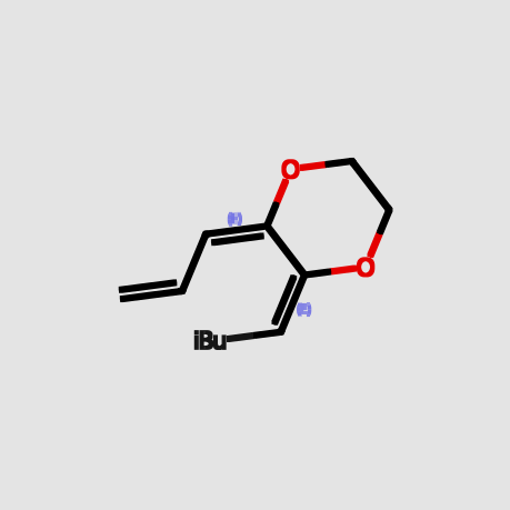 C=C/C=C1/OCCO/C1=C/C(C)CC